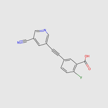 N#Cc1cncc(C#Cc2ccc(F)c(C(=O)O)c2)c1